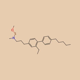 CCCCCc1ccc(-c2ccc(CCCN(C)SOC)cc2CC)cc1